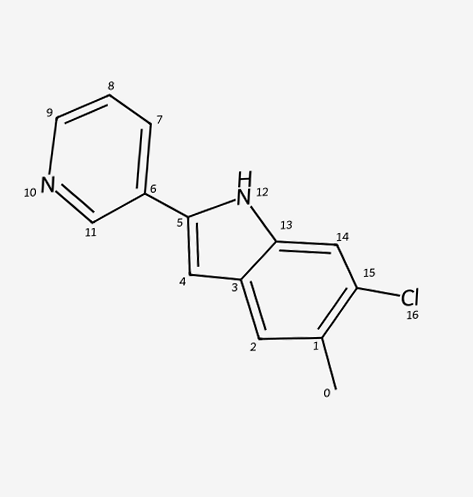 Cc1cc2cc(-c3cccnc3)[nH]c2cc1Cl